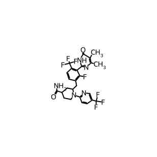 Cc1nc(-c2c(C(F)(F)F)ccc(CC3CC(C(N)=O)CCN3c3ccc(C(F)(F)F)cn3)c2F)[nH]c(=O)c1C